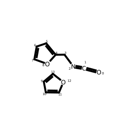 O=C=NCc1ccco1.c1ccoc1